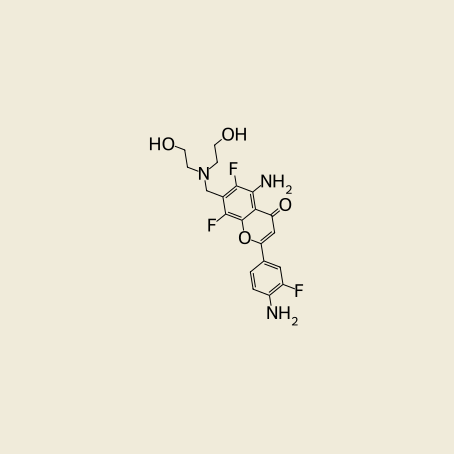 Nc1ccc(-c2cc(=O)c3c(N)c(F)c(CN(CCO)CCO)c(F)c3o2)cc1F